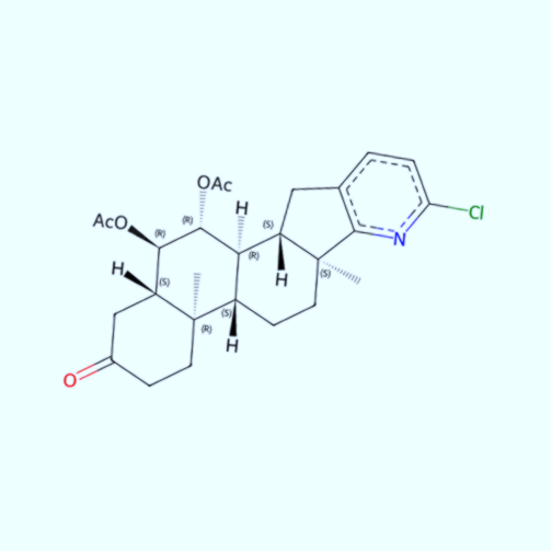 CC(=O)O[C@H]1[C@H](OC(C)=O)[C@H]2CC(=O)CC[C@]2(C)[C@H]2CC[C@]3(C)c4nc(Cl)ccc4C[C@H]3[C@H]12